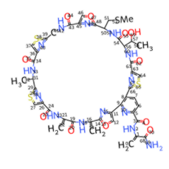 C=C(NC(=O)c1ccc2c(n1)-c1coc(n1)C(=C)NC(=O)C(=C)NC(=O)c1csc(n1)C(C)NC(=O)c1csc(n1)CNC(=O)c1coc(n1)C(CSC)NC(=O)C(C(C)O)NC(=O)c1csc-2n1)C(N)=O